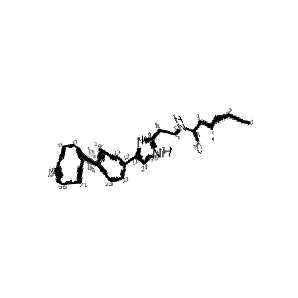 CCCCC(=O)NCCc1nc(-c2ccc(-c3ccccc3)cc2)c[nH]1